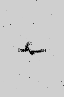 CCOCOc1cc(C=Cc2cccc(CCCCCCO)c2)cc(OCOCC)c1